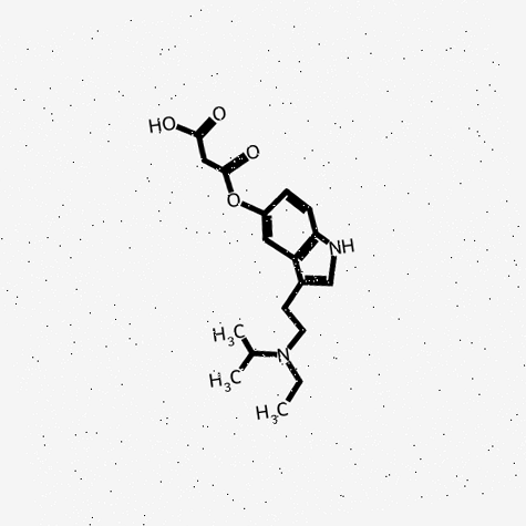 CCN(CCc1c[nH]c2ccc(OC(=O)CC(=O)O)cc12)C(C)C